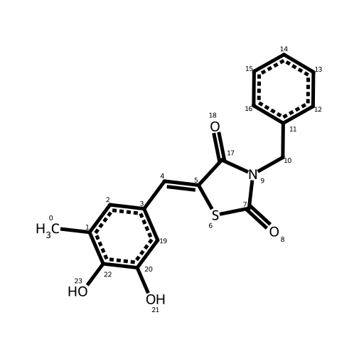 Cc1cc(/C=C2\SC(=O)N(Cc3ccccc3)C2=O)cc(O)c1O